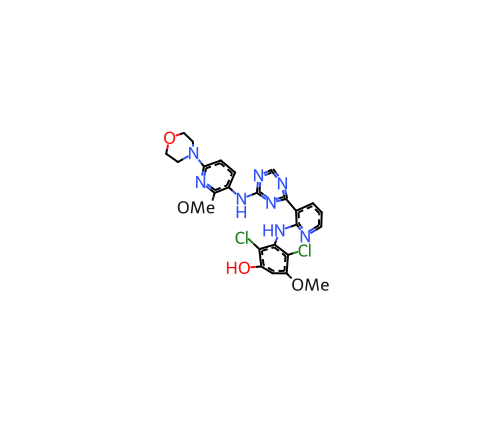 COc1cc(O)c(Cl)c(Nc2ncccc2-c2ncnc(Nc3ccc(N4CCOCC4)nc3OC)n2)c1Cl